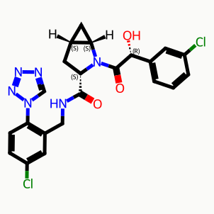 O=C(NCc1cc(Cl)ccc1-n1cnnn1)[C@@H]1C[C@@H]2C[C@@H]2N1C(=O)[C@H](O)c1cccc(Cl)c1